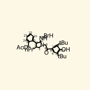 Br.CCCC1CN(CC(=O)c2cc(C(C)(C)C)c(O)c(C(C)(C)C)c2)C(=N)C1c1ccccc1COC(C)=O